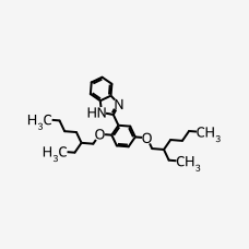 CCCCC(CC)COc1ccc(OCC(CC)CCCC)c(-c2nc3ccccc3[nH]2)c1